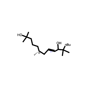 CCCCC(C)(C)C(O)/C=C/C[C@H](C)CCCC(C)(C)O